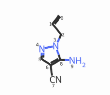 C=CCn1ncc(C#N)c1N